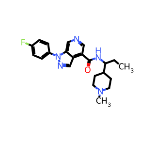 CCC(NC(=O)c1cncc2c1cnn2-c1ccc(F)cc1)C1CCN(C)CC1